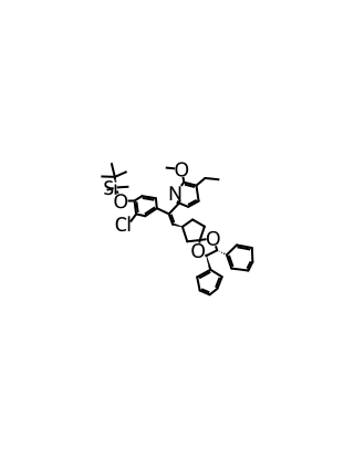 CCc1ccc(C(=C[C@H]2CCC3(C2)O[C@H](c2ccccc2)[C@@H](c2ccccc2)O3)c2ccc(O[Si](C)(C)C(C)(C)C)c(Cl)c2)nc1OC